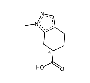 Cn1ncc2c1C[C@H](C(=O)O)CC2